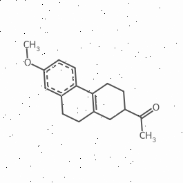 COc1ccc2c(c1)CCC1=C2CCC(C(C)=O)C1